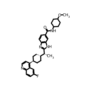 COC1CCC(NC(=O)c2ccc3nc([C@H](C)[C@H]4CC[C@H](c5ccnc6ccc(F)cc65)CC4)[nH]c3c2)CC1